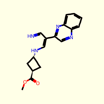 COC(=O)[C@H]1C[C@H](N/C=C(\C=N)c2cnc3ccccc3n2)C1